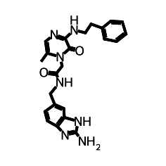 Cc1cnc(NCCc2ccccc2)c(=O)n1CC(=O)NCc1ccc2nc(N)[nH]c2c1